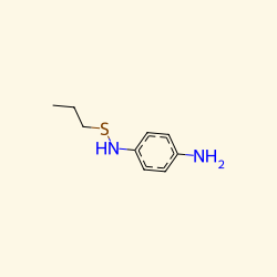 CCCSNc1ccc(N)cc1